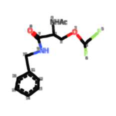 CC(=O)NC(COC(F)F)C(=O)NCc1ccccc1